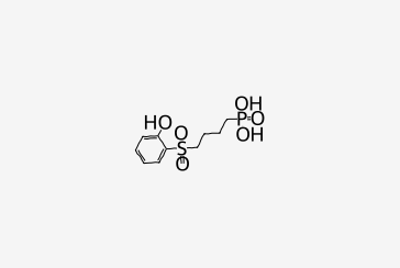 O=P(O)(O)CCCCS(=O)(=O)c1ccccc1O